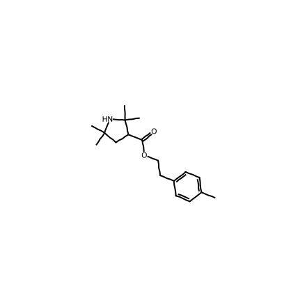 Cc1ccc(CCOC(=O)C2CC(C)(C)NC2(C)C)cc1